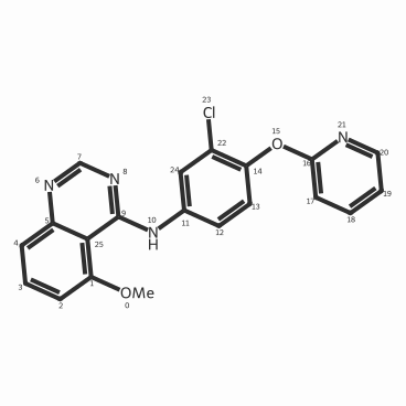 COc1cccc2ncnc(Nc3ccc(Oc4ccccn4)c(Cl)c3)c12